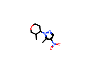 Cc1c([N+](=O)[O-])cnn1C1CCOCC1C